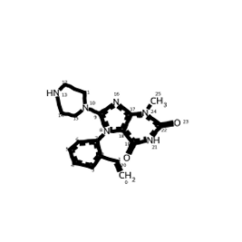 C=Cc1ccccc1-n1c(N2CCNCC2)nc2c1c(=O)[nH]c(=O)n2C